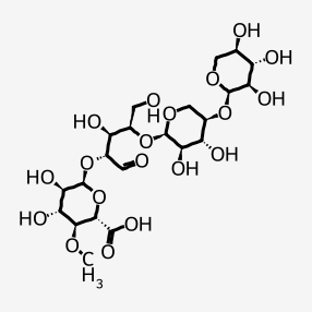 CO[C@H]1[C@H](O)[C@@H](O)[C@@H](O[C@@H](C=O)[C@@H](O)[C@@H](CO)O[C@H]2OC[C@@H](O[C@H]3OC[C@@H](O)[C@H](O)[C@H]3O)[C@H](O)[C@H]2O)O[C@@H]1C(=O)O